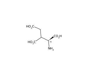 N[C@H](C(=O)O)C(CC(=O)O)C(=O)O